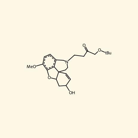 COc1ccc2c3c1OC1CC(O)C=CC31CCN(CCC(=O)COC(C)(C)C)C2